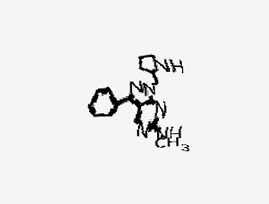 CNc1ncc2c(-c3ccccc3)nn(CC3CCCN3)c2n1